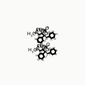 CCC(=O)O[C@](Cc1ccccc1)(c1ccccc1)[C@H](C)CN(C)C.CCC(=O)O[C@](Cc1ccccc1)(c1ccccc1)[C@H](C)CN(C)C